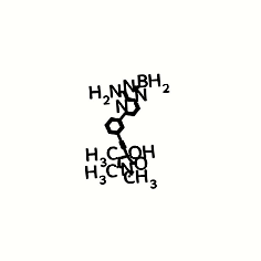 Bc1nc(N)c2nc(-c3cccc(C#C[C@@]4(O)C(=O)N(C)[C@H](C)[C@@H]4C)c3)ccc2n1